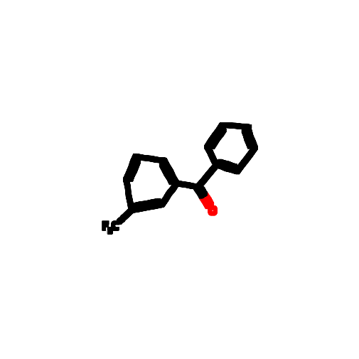 O=C(c1cc[c]cc1)c1cccc(C(F)(F)F)c1